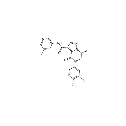 Cc1cncc(NC(=O)c2cnn3c2C(=O)N(c2ccc(C(F)(F)F)c(Cl)c2)C[C@@H]3C)c1